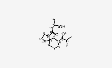 CC(C)C(=O)N1CCCC2(C1)SCCN2C(=O)C[C@@H](C)O